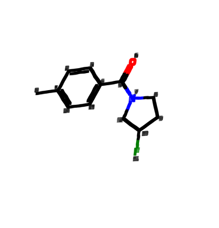 Cc1ccc(C(=O)N2CCC(F)C2)cc1